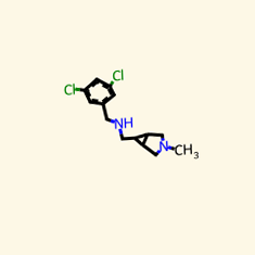 CN1CC2C(CNCc3cc(Cl)cc(Cl)c3)C2C1